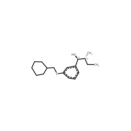 CC[C@@H](C)[C@H](O)c1cccc(OCC2CCCCC2)c1